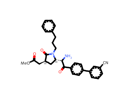 COC(=O)C[C@@H]1C[C@@H](C(N)C(=O)c2ccc(-c3cccc(C#N)c3)cc2)N(CCCc2ccccc2)C1=O